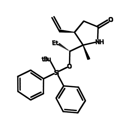 C=C[C@H]1CC(=O)N[C@]1(C)[C@@H](CC)O[Si](c1ccccc1)(c1ccccc1)C(C)(C)C